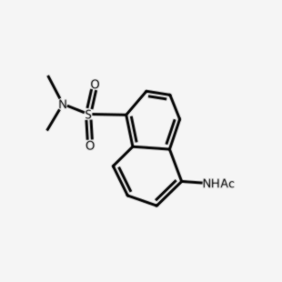 CC(=O)Nc1cccc2c(S(=O)(=O)N(C)C)cccc12